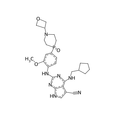 COc1cc(P2(=O)CCN(C3COC3)CC2)ccc1Nc1nc(NCC2CCCC2)c2c(C#N)c[nH]c2n1